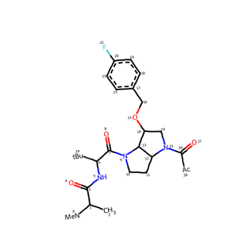 CNC(C)C(=O)NC(C(=O)N1CCC2C1C(OCc1ccc(F)cc1)CN2C(=O)C(C)=O)C(C)(C)C